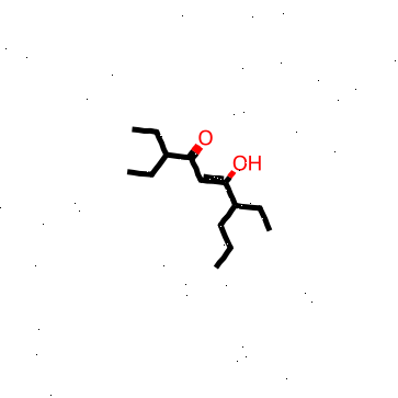 CCCC(CC)/C(O)=C/C(=O)C(CC)CC